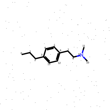 CCCc1ccc(CCN(C)C)cc1